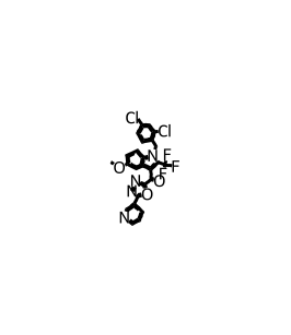 COc1ccc2c(c1)c(C(=O)c1nnc(-c3cccnc3)o1)c(C(F)(F)F)n2Cc1ccc(Cl)cc1Cl